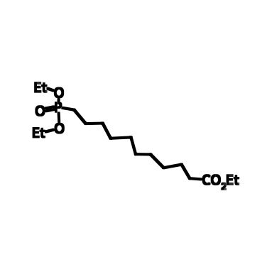 CCOC(=O)CCCCCCCCCCP(=O)(OCC)OCC